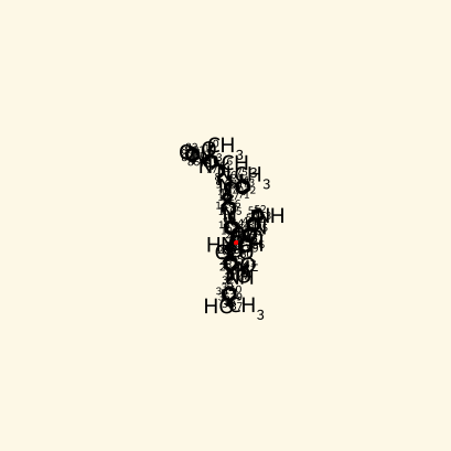 COc1cc([C@@H](C)N2CCN(C3CC4(CCN(c5ccc(C(=O)NS(=O)(=O)c6ccc(NC[C@H]7CC[C@](C)(O)CC7)c([N+](=O)[O-])c6)c(N6c7cc8cc[nH]c8nc7O[C@H]7COCC[C@@H]76)c5)CC4)C3)[C@H](c3ccccc3C)C2)cnc1N1CCOCC1